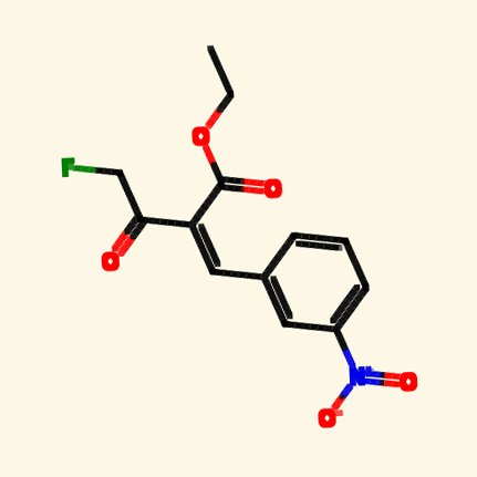 CCOC(=O)C(=Cc1cccc([N+](=O)[O-])c1)C(=O)CF